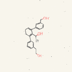 CC(C)C(O)C1=C(c2cccc(CCO)c2)[CH]CC=C1c1cccc(CO)c1